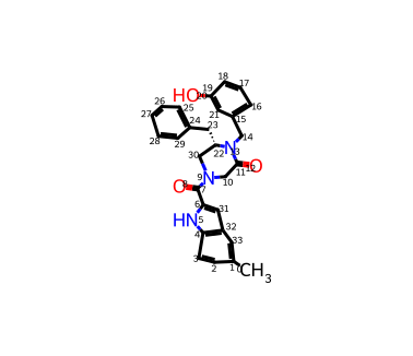 Cc1ccc2[nH]c(C(=O)N3CC(=O)N(Cc4cccc(O)c4)[C@@H](Cc4ccccc4)C3)cc2c1